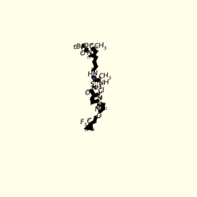 CC(=N)/C(=C\NCCCCC1CN(C(=O)OC(C)(C)C)C(C)(C)C1)SNC(=O)c1ccc(-n2ccc(OCCC3(C(F)(F)F)CC3)n2)nc1Cl